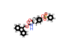 COC(=O)[C@H](Cc1ccc(OS(=O)(=O)c2ccccc2)cc1)NC(=O)OCC1c2ccccc2-c2ccccc21